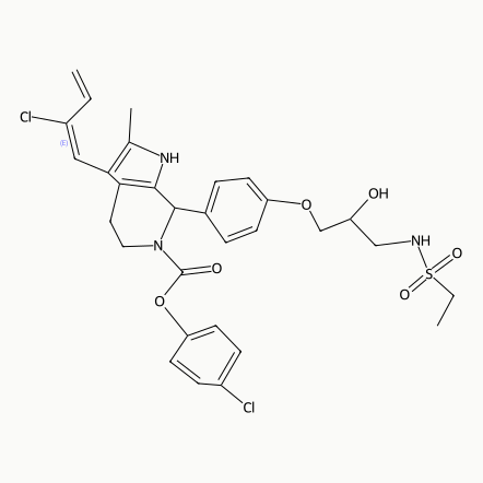 C=C/C(Cl)=C\c1c(C)[nH]c2c1CCN(C(=O)Oc1ccc(Cl)cc1)C2c1ccc(OCC(O)CNS(=O)(=O)CC)cc1